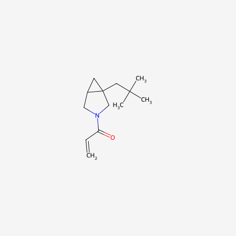 C=CC(=O)N1CC2CC2(CC(C)(C)C)C1